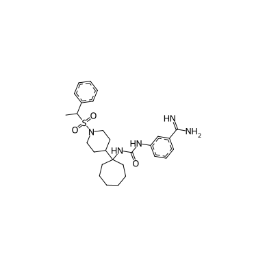 CC(c1ccccc1)S(=O)(=O)N1CCC(C2(NC(=O)Nc3cccc(C(=N)N)c3)CCCCCC2)CC1